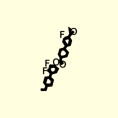 CCc1ccc(-c2ccc(OC(=O)C3CCC(c4ccc(C5CO5)c(F)c4)CC3)c(F)c2F)cc1